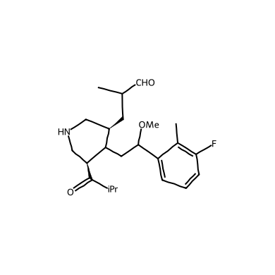 COC(CC1[C@H](CC(C)C=O)CNC[C@@H]1C(=O)C(C)C)c1cccc(F)c1C